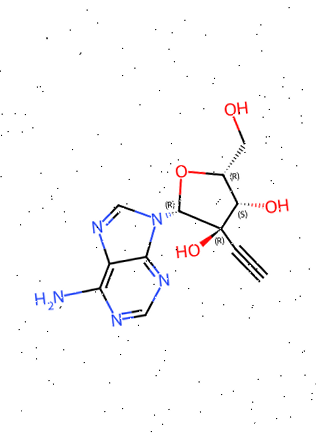 C#C[C@@]1(O)[C@@H](O)[C@@H](CO)O[C@H]1n1cnc2c(N)ncnc21